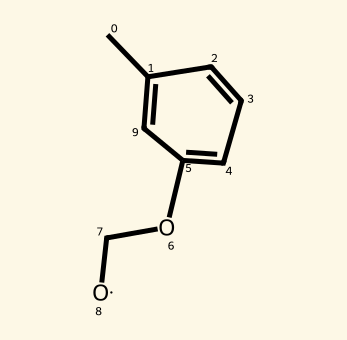 Cc1cccc(OC[O])c1